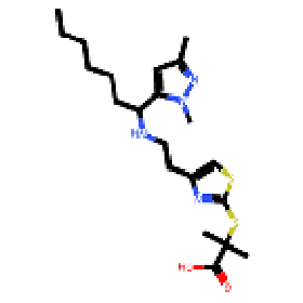 CCCCCCC(NCCc1csc(SC(C)(C)C(=O)O)n1)c1cc(C)nn1C